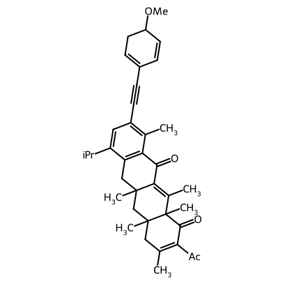 COC1C=CC(C#Cc2cc(C(C)C)c3c(c2C)C(=O)C2=C(C)C4(C)C(=O)C(C(C)=O)=C(C)CC4(C)CC2(C)C3)=CC1